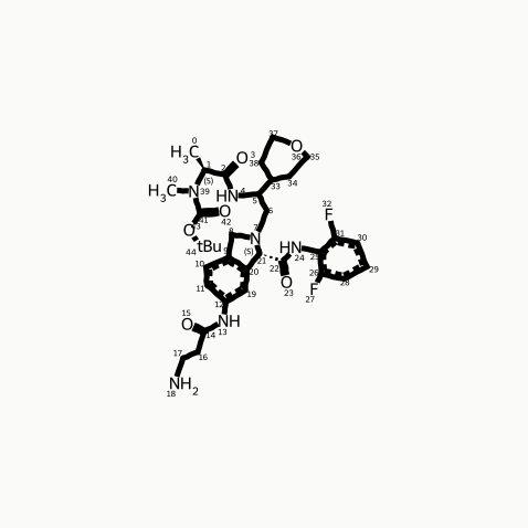 C[C@@H](C(=O)NC(CN1Cc2ccc(NC(=O)CCN)cc2[C@H]1C(=O)Nc1c(F)cccc1F)C1CCOCC1)N(C)C(=O)OC(C)(C)C